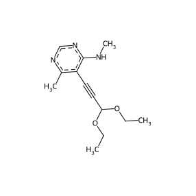 CCOC(C#Cc1c(C)ncnc1NC)OCC